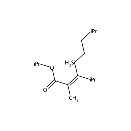 CC(C(=O)OC(C)C)=C([SiH2]CCC(C)C)C(C)C